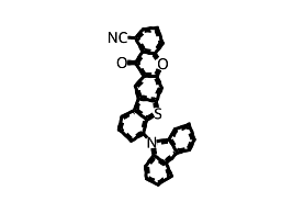 N#Cc1cccc2oc3cc4sc5c(-n6c7ccccc7c7ccccc76)cccc5c4cc3c(=O)c12